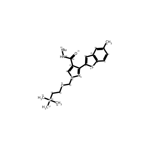 Cc1ccc2sc(-c3nn(COCCS(C)(C)C)cc3C(=O)NC(C)(C)C)cc2c1